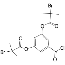 CC(C)(Br)C(=O)Oc1cc(OC(=O)C(C)(C)Br)cc(C(=O)Cl)c1